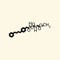 CCOC(=O)CNC(=O)ONC(=O)Cc1ccc(CCCCc2ccccc2)cc1